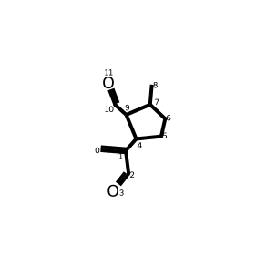 C=C(C=O)C1CCC(C)C1C=O